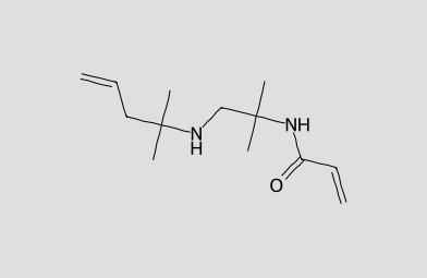 C=CCC(C)(C)NCC(C)(C)NC(=O)C=C